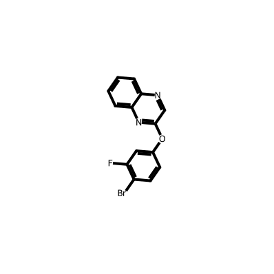 Fc1cc(Oc2cnc3ccccc3n2)ccc1Br